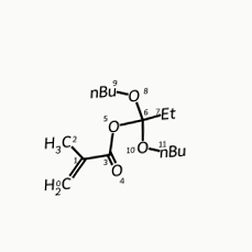 C=C(C)C(=O)OC(CC)(OCCCC)OCCCC